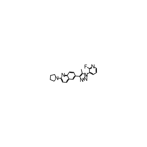 Cc1c(-c2ccc3nc(N4CCCC4)ccc3c2)nnn1-c1cccnc1F